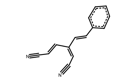 N#CC=CC(C=Cc1ccccc1)=CC#N